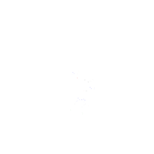 Cc1ccc(NC(=O)Cn2ncc(Cl)c(Cl)c2=O)cc1S(=O)(=O)N1CCC(CO)CC1